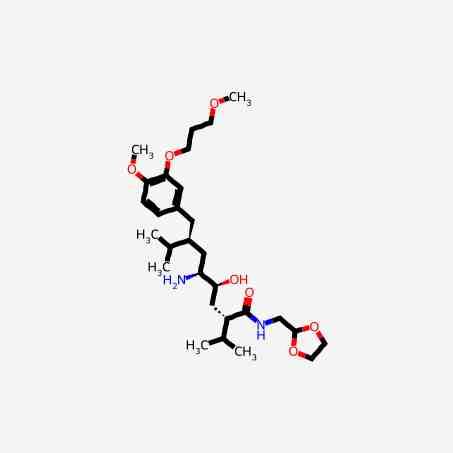 COCCCOc1cc(C[C@@H](C[C@H](N)[C@@H](O)C[C@H](C(=O)NCC2OCCO2)C(C)C)C(C)C)ccc1OC